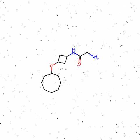 NCC(=O)NC1CC(OC2CCCCCCC2)C1